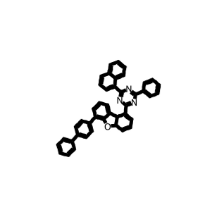 C1=CC2Oc3c(-c4ccc(-c5ccccc5)cc4)cccc3C2C(c2nc(-c3ccccc3)nc(-c3cccc4ccccc34)n2)=C1